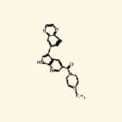 CN1CCN(C(=O)c2cnc3[nH]cc(-c4ccc5nccnc5c4)c3c2)CC1